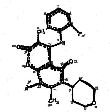 Cc1c(Nc2ccccc2F)c2c(=O)n(C3CCOCC3)c(C)c(Br)c2oc1=O